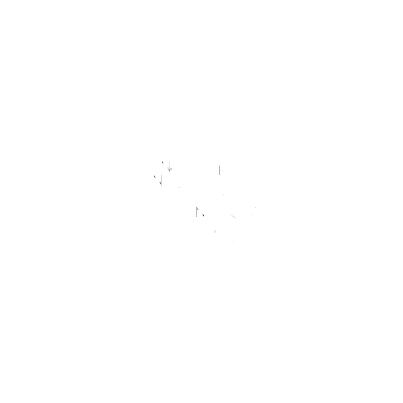 Cn1cc(-c2nc3cccc(Cl)c3cc2C(F)(F)F)cn1